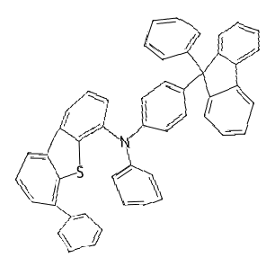 c1ccc(-c2cccc3c2sc2c(N(c4ccccc4)c4ccc(C5(c6ccccc6)c6ccccc6-c6ccccc65)cc4)cccc23)cc1